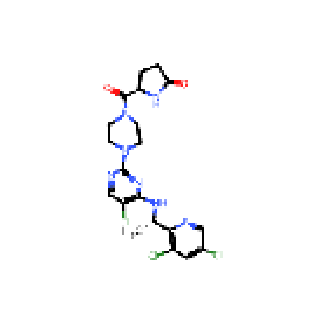 C[C@H](Nc1nc(N2CCN(C(=O)[C@H]3CCC(=O)N3)CC2)ncc1Cl)c1ncc(Cl)cc1Cl